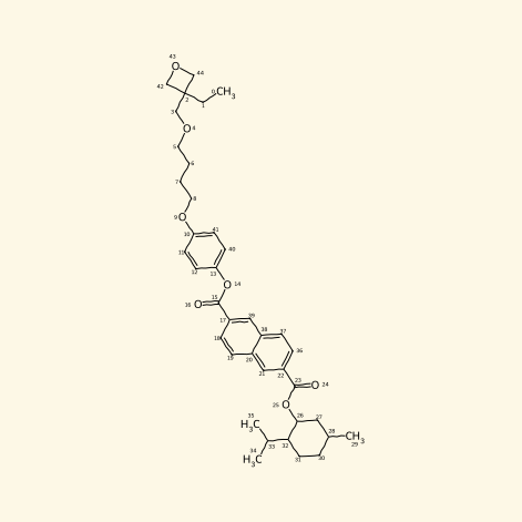 CCC1(COCCCCOc2ccc(OC(=O)c3ccc4cc(C(=O)OC5CC(C)CCC5C(C)C)ccc4c3)cc2)COC1